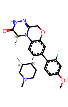 COc1ccc(-c2cc3c(cc2[C@@H]2CCN(C)C[C@@H]2C)N2C(=NNC(=O)[C@H]2C)CO3)c(F)c1